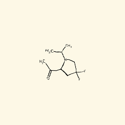 CC(=O)C1CC(F)(F)CN1C(C)C